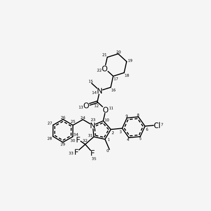 Cc1c(-c2ccc(Cl)cc2)c(OC(=O)N(C)CC2CCCCO2)n(Cc2ccccc2)c1C(F)(F)F